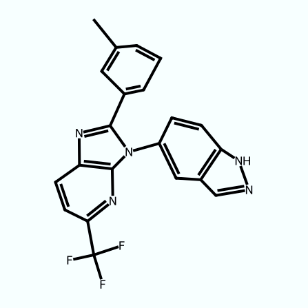 Cc1cccc(-c2nc3ccc(C(F)(F)F)nc3n2-c2ccc3[nH]ncc3c2)c1